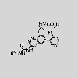 CCc1ccncc1-c1cc(CC(C)(C)NC(=O)O)c2nnc(NC(=O)NC(C)C)cc2c1